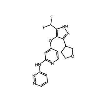 FC(F)c1[nH]nc(C2CCOC2)c1Oc1ccnc(Nc2cccnn2)c1